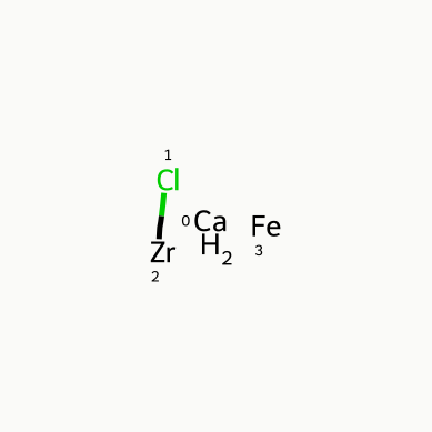 [CaH2].[Cl][Zr].[Fe]